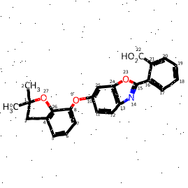 CC1(C)Cc2cccc(Oc3ccc4nc(-c5ccccc5C(=O)O)oc4c3)c2O1